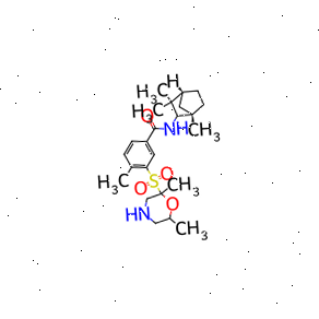 Cc1ccc(C(=O)NC2C(C)(C)[C@@H]3CC[C@@]2(C)C3)cc1S(=O)(=O)C1(C)CNCC(C)O1